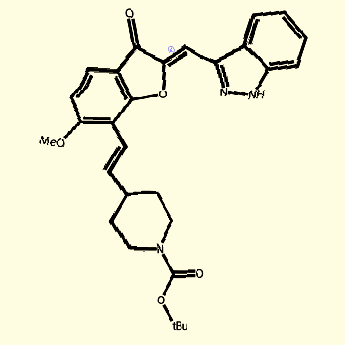 COc1ccc2c(c1C=CC1CCN(C(=O)OC(C)(C)C)CC1)O/C(=C\c1n[nH]c3ccccc13)C2=O